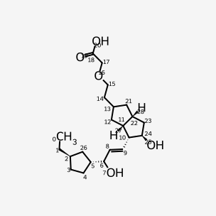 CC[C@@H]1CC[C@@H](C(O)C=C[C@@H]2[C@@H]3CC(CCOCC(=O)O)C[C@@H]3C[C@H]2O)C1